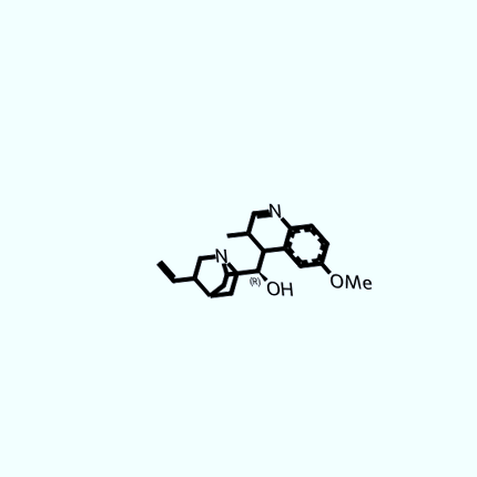 C=CC1CN2CCC1CC2[C@H](O)C1c2cc(OC)ccc2N=CC1C